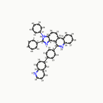 c1ccc(-c2nc3c4c(-c5ccc(-c6ccc7ncccc7c6)cc5)nc5ccccc5c4ccc3n2-c2ccccc2)cc1